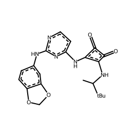 CC(Nc1c(Nc2ccnc(Nc3ccc4c(c3)OCO4)n2)c(=O)c1=O)C(C)(C)C